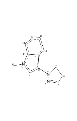 Cn1cc(N2CCC=N2)c2ccccc21